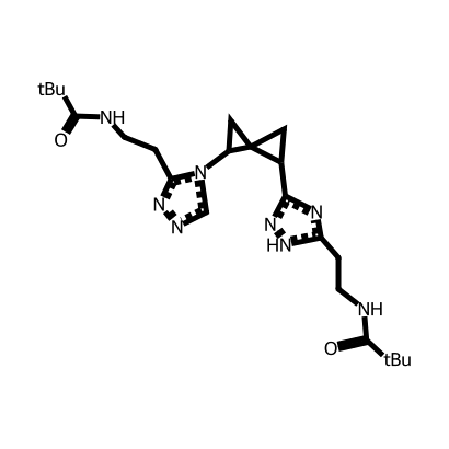 CC(C)(C)C(=O)NCCc1nc(C2CC23CC3n2cnnc2CCNC(=O)C(C)(C)C)n[nH]1